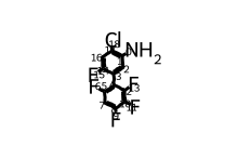 Nc1cc(-c2c(F)cc(F)c(F)c2F)c(F)cc1Cl